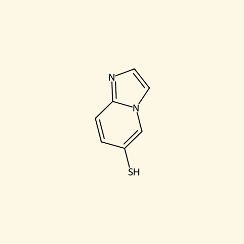 Sc1ccc2nccn2c1